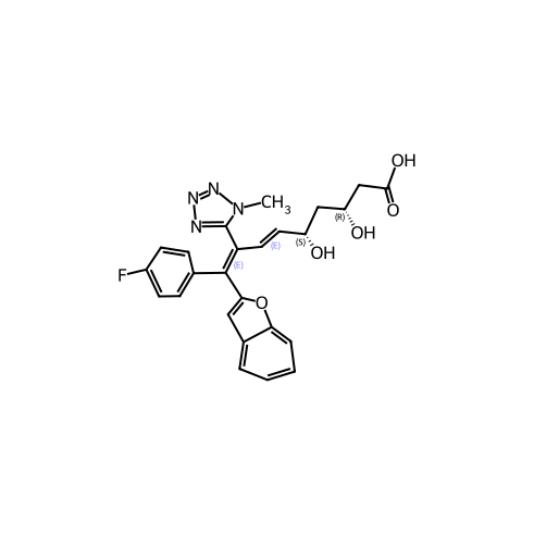 Cn1nnnc1C(/C=C/[C@@H](O)C[C@@H](O)CC(=O)O)=C(\c1ccc(F)cc1)c1cc2ccccc2o1